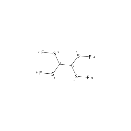 FS[C](SF)C(SF)SF